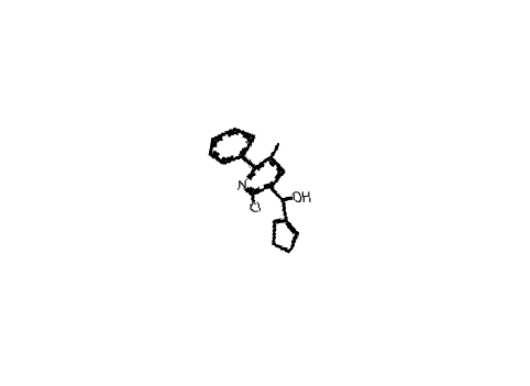 Cc1cc(C(O)C2=CCCC2)c(Cl)nc1-c1ccccc1